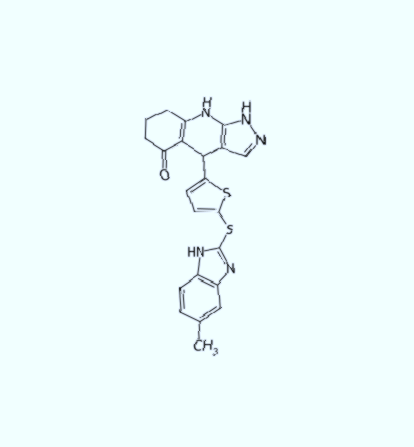 Cc1ccc2[nH]c(Sc3ccc(C4C5=C(CCCC5=O)Nc5[nH]ncc54)s3)nc2c1